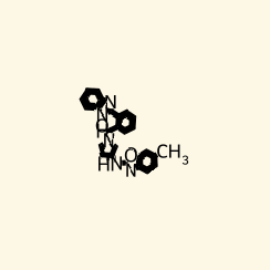 Cc1ccc2nc(N[C@@H]3CCN(C(=O)c4ccccc4-c4nc5ccccc5[nH]4)C3)oc2c1